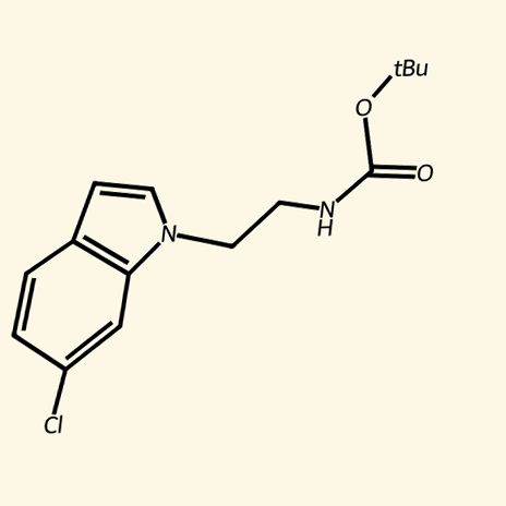 CC(C)(C)OC(=O)NCCn1ccc2ccc(Cl)cc21